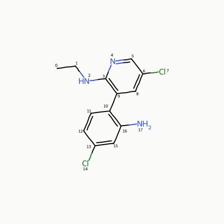 CCNc1ncc(Cl)cc1-c1ccc(Cl)cc1N